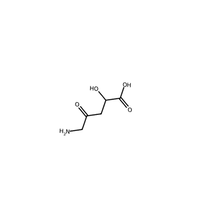 NCC(=O)CC(O)C(=O)O